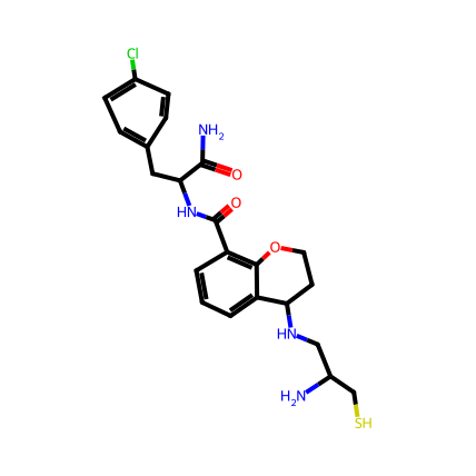 NC(=O)C(Cc1ccc(Cl)cc1)NC(=O)c1cccc2c1OCCC2NCC(N)CS